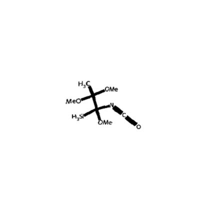 COC([SiH3])(N=C=O)C(C)(OC)OC